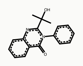 CC(C)(O)c1nc2ccccc2c(=O)n1-c1ccccc1